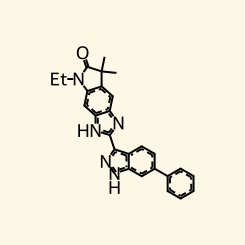 CCN1C(=O)C(C)(C)c2cc3nc(-c4n[nH]c5cc(-c6ccccc6)ccc45)[nH]c3cc21